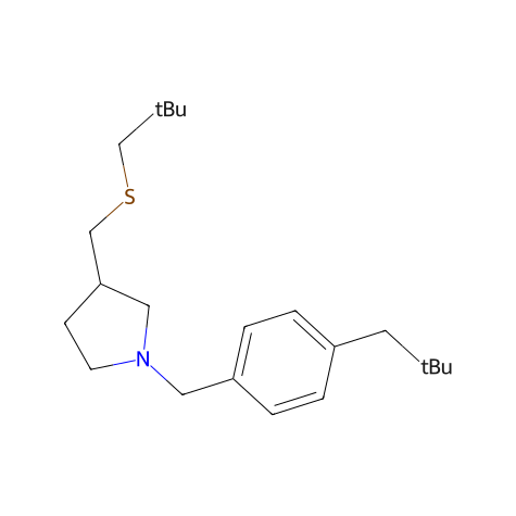 CC(C)(C)CSCC1CCN(Cc2ccc(CC(C)(C)C)cc2)C1